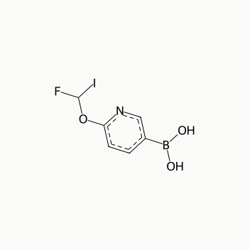 OB(O)c1ccc(OC(F)I)nc1